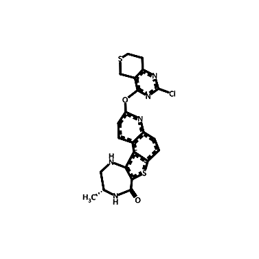 C[C@@H]1CNc2c(sc3ccc4nc(Oc5nc(Cl)nc6c5CSCC6)ccc4c23)C(=O)N1